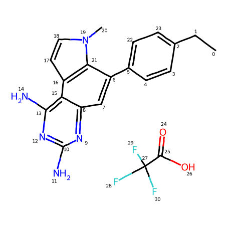 CCc1ccc(-c2cc3nc(N)nc(N)c3c3ccn(C)c23)cc1.O=C(O)C(F)(F)F